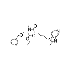 CCOC(=O)[C@H](COCc1ccccc1)N(C)C(=O)CCCCCn1c(C)nc2cnccc21